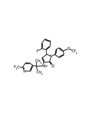 CC(C)(NC1=CC(c2ccccc2F)N(c2ccc(OC(F)(F)F)cc2)C1=O)c1ccc(C(F)(F)F)nc1